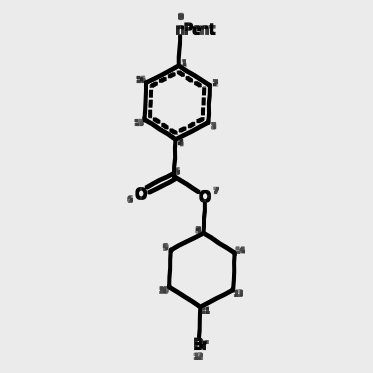 CCCCCc1ccc(C(=O)OC2CCC(Br)CC2)cc1